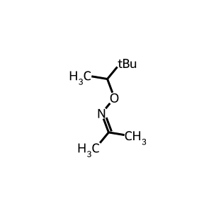 CC(C)=NOC(C)C(C)(C)C